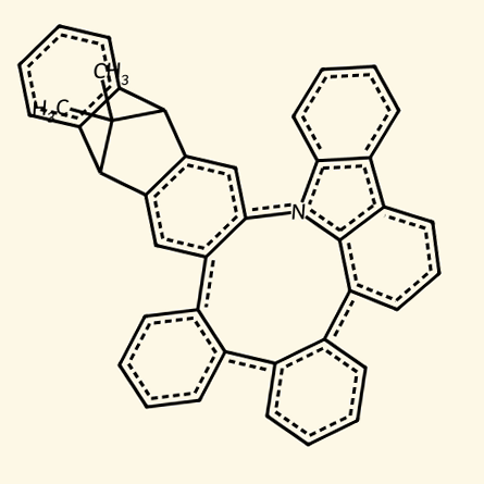 CC1(C)C2c3ccccc3C1c1cc3c(cc12)c1ccccc1c1ccccc1c1cccc2c4ccccc4n3c12